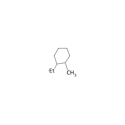 C[CH]C1CCCCC1C